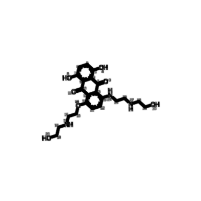 O=C1c2c(O)ccc(O)c2C(=O)c2c(OCCNCCO)ccc(NCCNCCO)c21